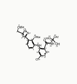 COCc1nc(-c2cccc(Nc3cc(Cl)nnc3C(=O)NC(O)(O)O)c2OC)no1